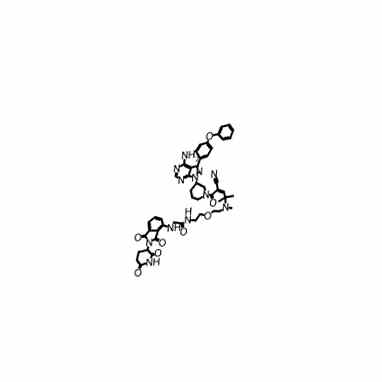 CN(CCOCCNC(=O)CNc1cccc2c1C(=O)N(C1CCC(=O)NC1=O)C2=O)C(C)(C)C=C(C#N)C(=O)N1CCCC(n2nc(-c3ccc(Oc4ccccc4)cc3)c3c(N)ncnc32)C1